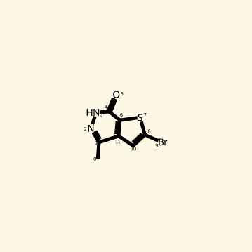 Cc1n[nH]c(=O)c2sc(Br)cc12